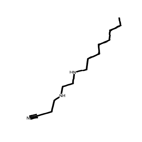 CCCCCCCCNCCNCCC#N